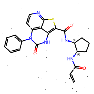 C=CC(=O)N[C@@H]1CCC[C@@H]1NC(=O)c1sc2nccc3c2c1NC(=O)N3c1ccccc1